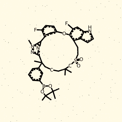 Cn1nc2nc1-c1cc(ccc1F)Oc1c(F)cc3[nH]ccc3c1CCS(=O)(=O)CC(C)(C)CCCC2(C)c1cccc(B2OC(C)(C)C(C)(C)O2)c1